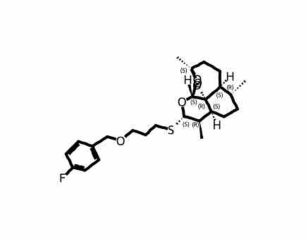 C[C@H]1[C@H](SCCCOCc2ccc(F)cc2)O[C@@H]2O[C@]3(C)CC[C@H]4[C@H](C)CC[C@@H]1[C@@]24OO3